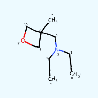 [CH2]CN(CC)CC1(C)COC1